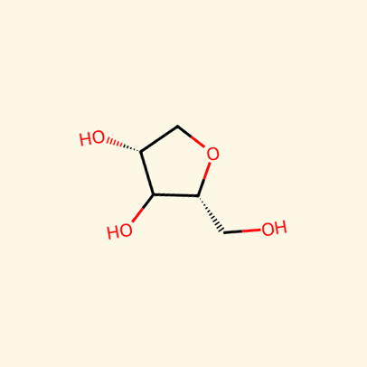 OC[C@H]1OC[C@@H](O)C1O